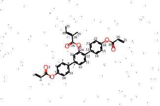 C=CC(=O)Oc1ccc(-c2ccc(-c3ccc(OC(=O)C=C)cc3)c(OC(=O)/C(C)=C/C)c2)cc1